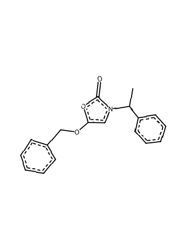 CC(c1ccccc1)n1cc(OCc2ccccc2)oc1=O